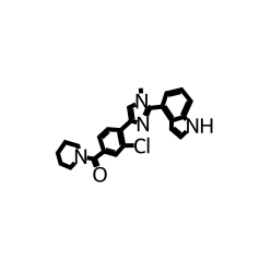 Cn1cc(-c2ccc(C(=O)N3CCCCC3)cc2Cl)nc1-c1cccc2[nH]ccc12